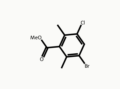 COC(=O)c1c(C)c(Cl)cc(Br)c1C